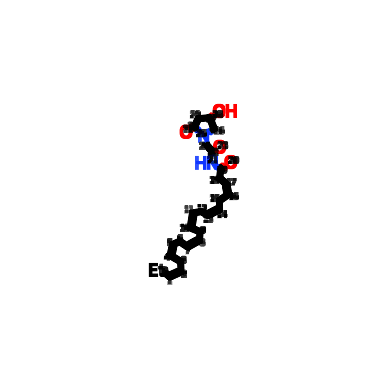 CC/C=C\C/C=C\C/C=C\C/C=C\C/C=C\C/C=C\CC(=O)NC(=O)CN1CC(O)CC1=O